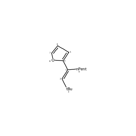 CCCCC/C(=C\C(C)(C)C)c1ccco1